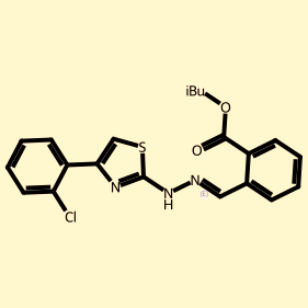 CCC(C)OC(=O)c1ccccc1/C=N/Nc1nc(-c2ccccc2Cl)cs1